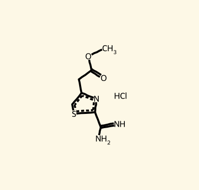 COC(=O)Cc1csc(C(=N)N)n1.Cl